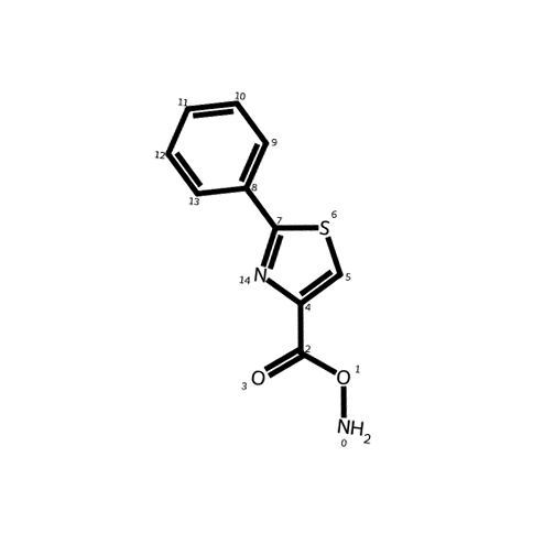 NOC(=O)c1csc(-c2ccccc2)n1